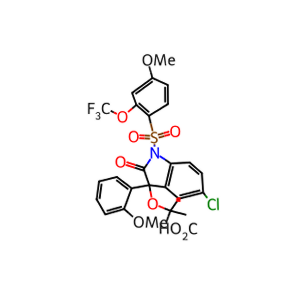 COc1ccc(S(=O)(=O)N2C(=O)C(OC(C)(C)C(=O)O)(c3ccccc3OC)c3cc(Cl)ccc32)c(OC(F)(F)F)c1